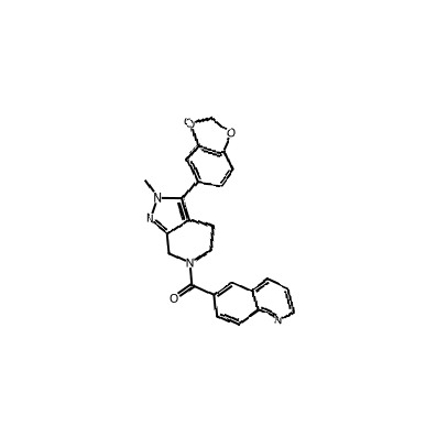 Cn1nc2c(c1-c1ccc3c(c1)OCO3)CCN(C(=O)c1ccc3ncccc3c1)C2